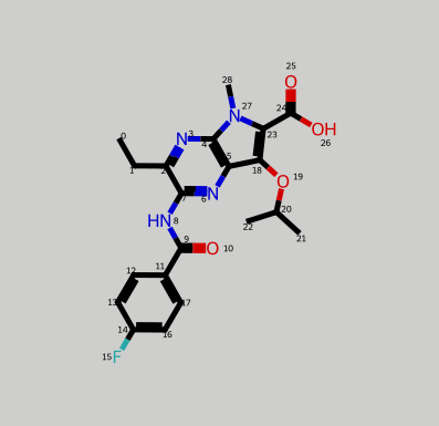 CCc1nc2c(nc1NC(=O)c1ccc(F)cc1)c(OC(C)C)c(C(=O)O)n2C